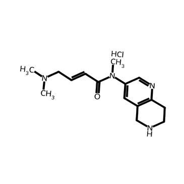 CN(C)C/C=C/C(=O)N(C)c1cnc2c(c1)CNCC2.Cl